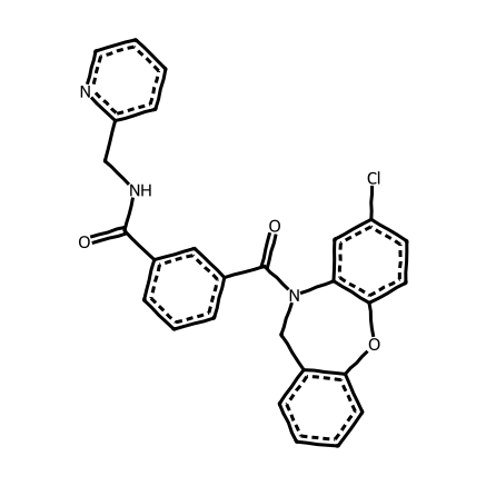 O=C(NCc1ccccn1)c1cccc(C(=O)N2Cc3ccccc3Oc3ccc(Cl)cc32)c1